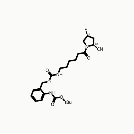 CC(C)(C)OC(=O)Nc1ccccc1COC(=O)NCCCCCC(=O)N1C[C@@H](F)C[C@H]1C#N